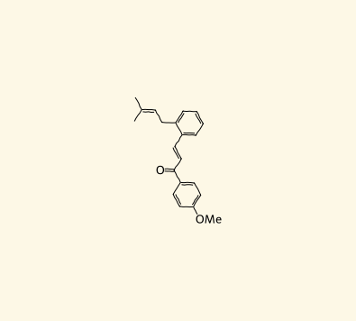 COc1ccc(C(=O)C=Cc2ccccc2CC=C(C)C)cc1